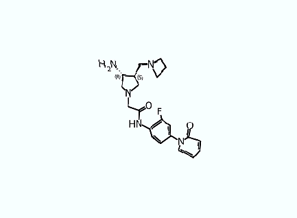 N[C@H]1CN(CC(=O)Nc2ccc(-n3ccccc3=O)cc2F)C[C@@H]1CN1CCC1